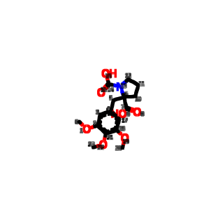 COc1cc(CC2(C(=O)O)CCCN2C(=O)O)cc(OC)c1OC